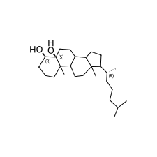 CC(C)CCC[C@@H](C)C1CCC2C3CC[C@@]4(O)[C@H](O)CCCC4(C)C3CCC21C